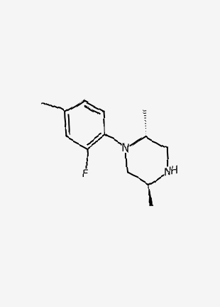 Cc1ccc(N2C[C@H](C)NC[C@H]2C)c(F)c1